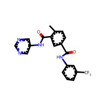 Cc1ccc(C(=O)Nc2cccc(C(F)(F)F)c2)cc1C(=O)Nc1cncnc1